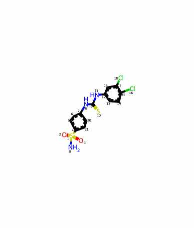 NS(=O)(=O)c1ccc(NC(=S)Nc2ccc(Cl)c(Cl)c2)cc1